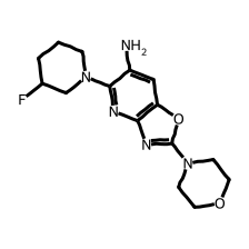 Nc1cc2oc(N3CCOCC3)nc2nc1N1CCCC(F)C1